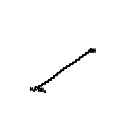 CC(C)CCCCCCCCCCCCCCCCCCCCCCCCCCCCCCCCCO